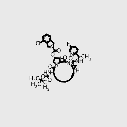 C[C@H](NC(=O)[C@@]12C[C@H]1/C=C\CCCCC[C@H](NC(=O)OC(C)(C)C)C(=O)N1C[C@H](OC(=O)N3Cc4cccc(Cl)c4C3)C[C@H]1C(=O)N2)c1ccc(F)cn1